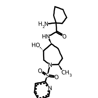 C[C@@H]1CC[C@H](NC(=O)C2(N)CCCCC2)[C@@H](O)CN1S(=O)(=O)c1ccccn1